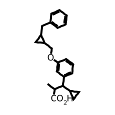 CC(C(=O)O)C(c1cccc(OCC2CC2Cc2ccccc2)c1)C1CC1